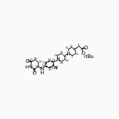 CC(C)(C)OC(=O)CC1CCN(C2CCN(c3ccc(NC4CCC(=O)NC4=O)cc3F)CC2)CC1